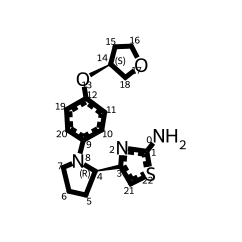 Nc1nc([C@H]2CCCN2c2ccc(O[C@H]3CCOC3)cc2)cs1